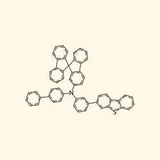 c1ccc(-c2ccc(N(c3cccc(-c4ccc5c(c4)sc4ccccc45)c3)c3ccc4c(c3)C3(c5ccccc5-c5ccccc53)c3ccccc3-4)cc2)cc1